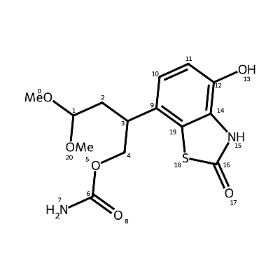 COC(CC(COC(N)=O)c1ccc(O)c2[nH]c(=O)sc12)OC